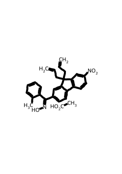 C=CCC1(CC=C)c2cc(C(=NO)c3ccccc3C)ccc2-c2ccc([N+](=O)[O-])cc21.CC(=O)O